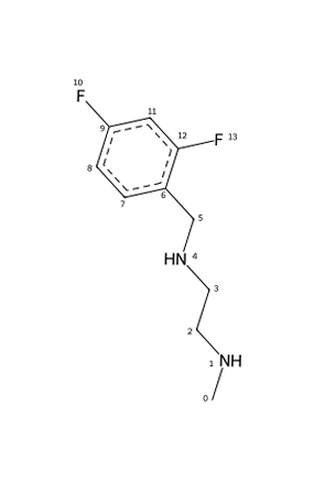 CNCCNCc1ccc(F)cc1F